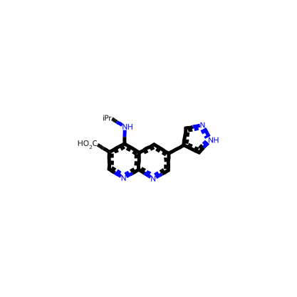 CC(C)Nc1c(C(=O)O)cnc2ncc(-c3cn[nH]c3)cc12